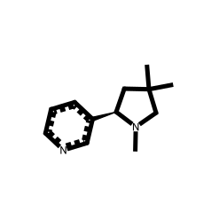 CN1CC(C)(C)C[C@@H]1c1cccnc1